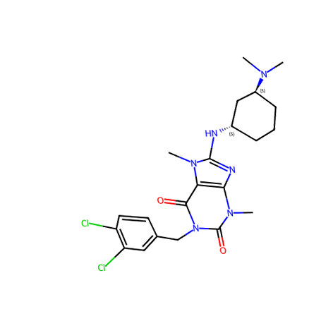 CN(C)[C@H]1CCC[C@H](Nc2nc3c(c(=O)n(Cc4ccc(Cl)c(Cl)c4)c(=O)n3C)n2C)C1